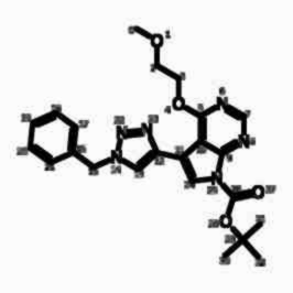 COCCOc1ncnc2c1c(-c1cn(Cc3ccccc3)nn1)cn2C(=O)OC(C)(C)C